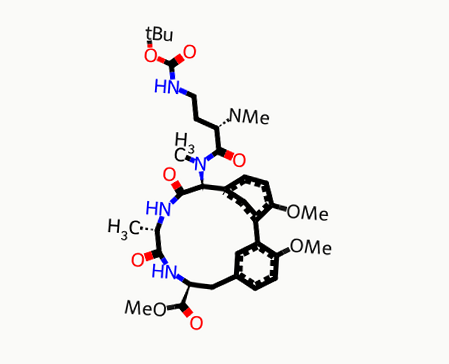 CN[C@@H](CCNC(=O)OC(C)(C)C)C(=O)N(C)[C@@H]1C(=O)N[C@@H](C)C(=O)N[C@H](C(=O)OC)Cc2ccc(OC)c(c2)-c2cc1ccc2OC